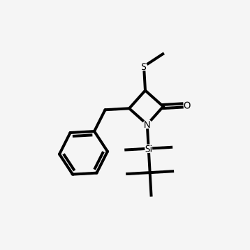 CSC1C(=O)N([Si](C)(C)C(C)(C)C)C1Cc1ccccc1